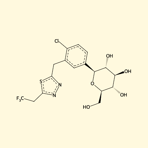 OC[C@H]1O[C@@H](c2ccc(Cl)c(Cc3nnc(CC(F)(F)F)s3)c2)[C@H](O)[C@@H](O)[C@@H]1O